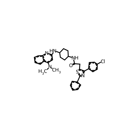 CN(C)c1cc(NC2CCC(NC(=O)Cc3sc(-c4ccccc4)nc3-c3ccc(Cl)cc3)CC2)nc2ccccc12